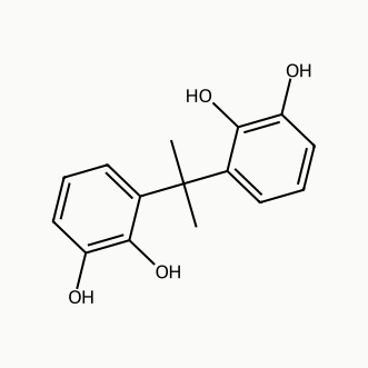 CC(C)(c1cccc(O)c1O)c1cccc(O)c1O